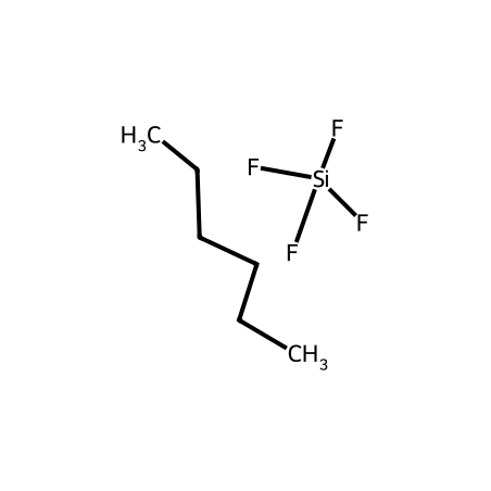 CCCCCC.F[Si](F)(F)F